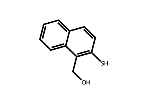 OCc1c(S)ccc2ccccc12